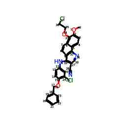 COc1ccc2c(ccc3c(Nc4ccc(OCc5ccccc5)c(Cl)c4)c(C#N)cnc32)c1OCCCl